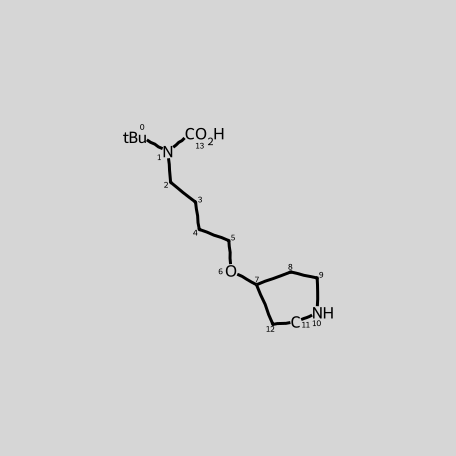 CC(C)(C)N(CCCCOC1CCNCC1)C(=O)O